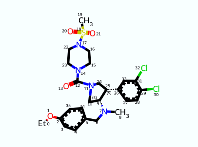 CCOc1ccc(CN(C)[C@@H]2CN(C(=O)N3CCN(S(C)(=O)=O)CC3)C[C@@H]2c2ccc(Cl)c(Cl)c2)cc1